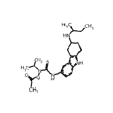 CCC(C)NC1CCc2[nH]c3ccc(NC(=S)N(OC(C)=O)C(C)C)cc3c2C1